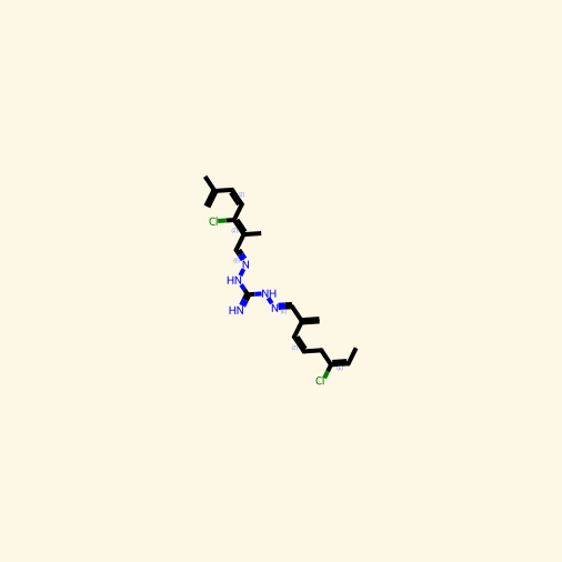 C=C(C)\C=C/C(Cl)=C(C)/C=N/NC(=N)N/N=C/C(=C)/C=C\C/C(Cl)=C\C